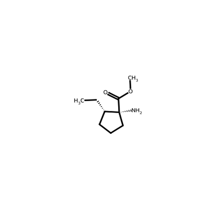 CC[C@H]1CCC[C@]1(N)C(=O)OC